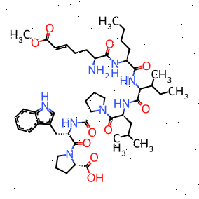 CCCC[C@H](NC(=O)[C@@H](N)CC/C=C/C(=O)OC)C(=O)N[C@H](C(=O)N[C@@H](CC(C)C)C(=O)N1CCC[C@H]1C(=O)N[C@@H](Cc1c[nH]c2ccccc12)C(=O)N1CCC[C@H]1C(=O)O)C(C)CC